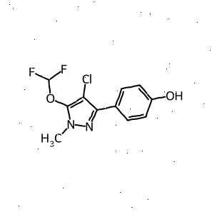 Cn1nc(-c2ccc(O)cc2)c(Cl)c1OC(F)F